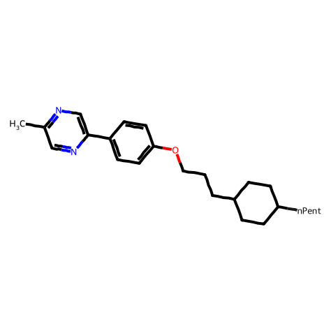 CCCCCC1CCC(CCCOc2ccc(-c3cnc(C)cn3)cc2)CC1